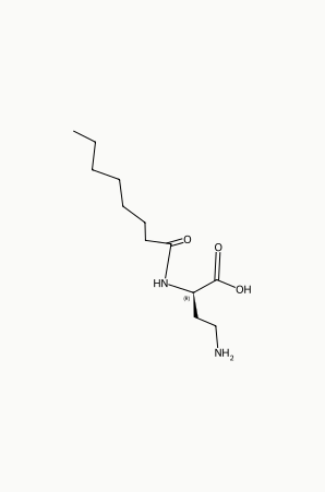 CCCCCCCC(=O)N[C@H](CCN)C(=O)O